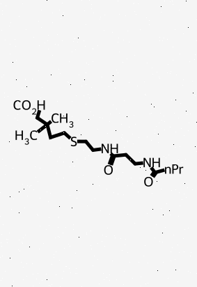 CCCC(=O)NCCC(=O)NCCSCCC(C)(C)CC(=O)O